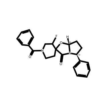 O=C(c1ccccc1)N1CCC2(O[C@@H]3CC[C@@H](c4ccccc4)N3C2=O)C(F)C1